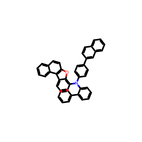 c1ccc(-c2ccccc2N(c2ccc(-c3ccc4ccccc4c3)cc2)c2cccc3c2oc2ccc4ccccc4c23)cc1